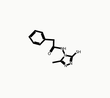 Cc1nnc(S)n1NC(=O)Cc1ccccc1